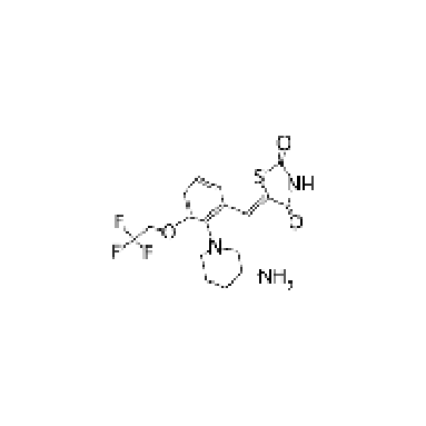 N[C@@H]1CCCN(c2c(/C=C3\SC(=O)NC3=O)cccc2OCC(F)(F)F)C1